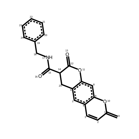 C=C1C=Cc2cc3c(cc2O1)OC(=O)C(C(=O)NCc1ccccc1)C3